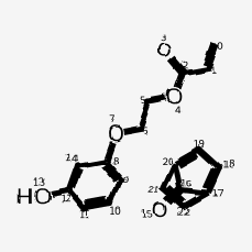 C=CC(=O)OCCOc1cccc(O)c1.O=C1C2=CC=C1C=C2